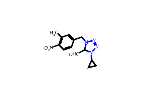 Cc1cc(CN2N=NN(C3CC3)C2C=O)ccc1[N+](=O)[O-]